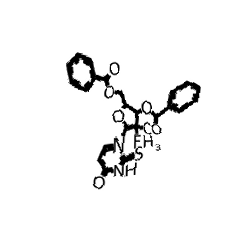 CC1(F)C(OC(=O)c2ccccc2)C(COC(=O)c2ccccc2)OC1n1ccc(=O)[nH]c1=S